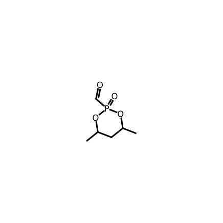 CC1CC(C)OP(=O)(C=O)O1